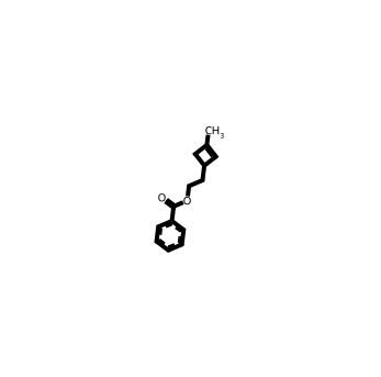 CC1=CC(CCOC(=O)c2ccccc2)C1